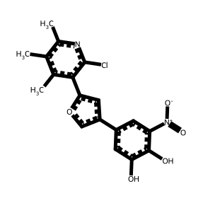 Cc1nc(Cl)c(-c2cc(-c3cc(O)c(O)c([N+](=O)[O-])c3)co2)c(C)c1C